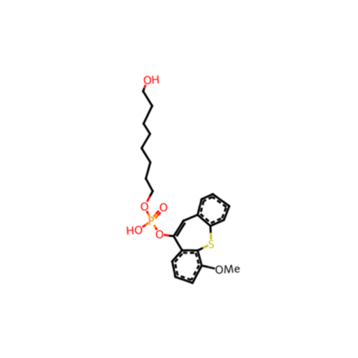 COc1cccc2c1Sc1ccccc1C=C2OP(=O)(O)OCCCCCCCCO